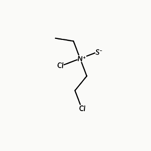 CC[N+]([S-])(Cl)CCCl